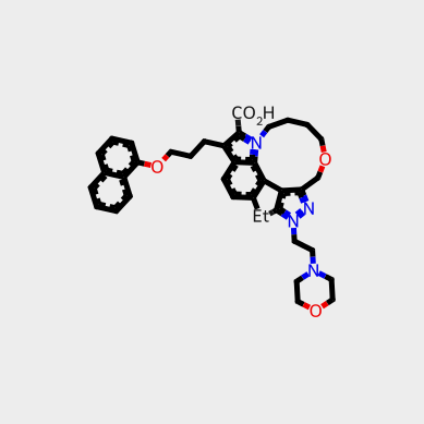 CCc1c2c(nn1CCN1CCOCC1)COCCCCn1c(C(=O)O)c(CCCOc3cccc4ccccc34)c3ccc(C)c-2c31